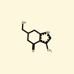 Cc1c[nH]c2c1C(=O)CC(CO)C2